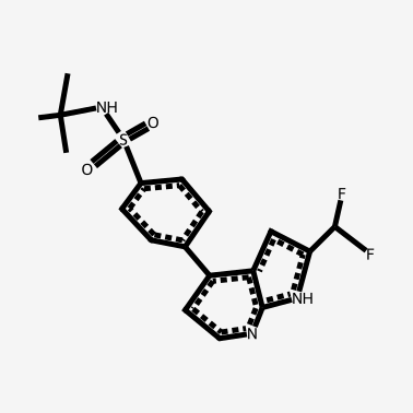 CC(C)(C)NS(=O)(=O)c1ccc(-c2ccnc3[nH]c(C(F)F)cc23)cc1